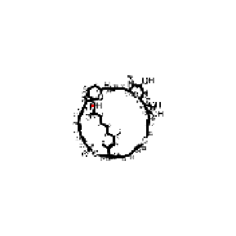 C/C(=C\[C@H](C)CCCCC(=O)O)C1OC2C=CC1OC(=O)\C=C/C=C\C=C\[C@H]1OC3C[C@@H]1O[C@@H](/C=C/C[C@H]1O[C@H](C[C@H](O)[C@H]1C)[C@@H](O)[C@@H](O)/C=C/CC/C=C/C2)C3